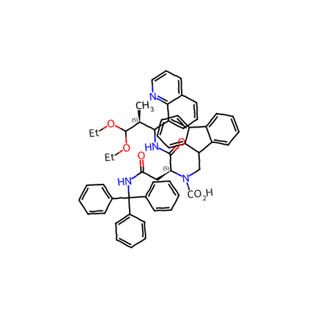 CCOC(OCC)[C@@H](C)C(NC(=O)[C@H](CC(=O)NC(c1ccccc1)(c1ccccc1)c1ccccc1)N(CC1c2ccccc2-c2ccccc21)C(=O)O)c1cccc2cccnc12